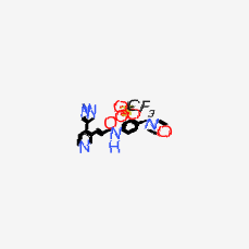 Cn1cc(-c2ccncc2C=CC(=O)Nc2ccc(CN3CCOCC3)c(OS(=O)(=O)C(F)(F)F)c2)cn1